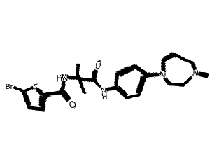 CN1CCCN(c2ccc(NC(=O)C(C)(C)NC(=O)c3ccc(Br)s3)cc2)CC1